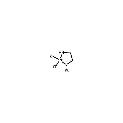 [Cl][Pt]1([Cl])[NH]CC[NH]1.[Pt]